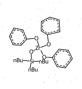 CCCC[Si](CCCC)(CCCC)[O][Zr]([O]c1ccccc1)([O]c1ccccc1)[O]c1ccccc1